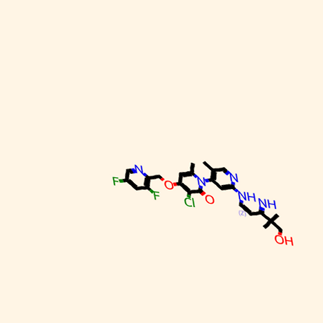 Cc1cnc(N/C=C\C(=N)C(C)(C)CO)cc1-n1c(C)cc(OCc2ncc(F)cc2F)c(Cl)c1=O